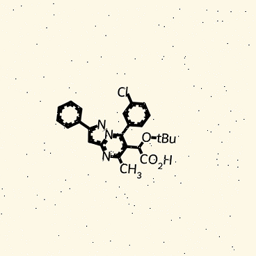 Cc1nc2cc(-c3ccccc3)nn2c(-c2cccc(Cl)c2)c1C(OC(C)(C)C)C(=O)O